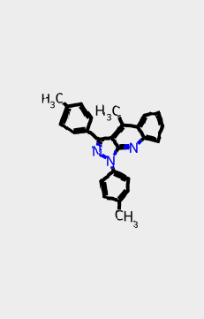 Cc1ccc(-c2nn(-c3ccc(C)cc3)c3nc4ccccc4c(C)c23)cc1